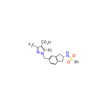 CCc1c(C(=O)O)c(C(F)(F)F)nn1Cc1ccc2c(c1)C[C@H](NS(=O)(=O)C(C)C)C2